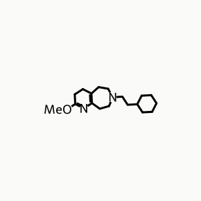 COC1=NC2=C(CC1)CCN(CCC1CCCCC1)CC2